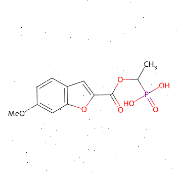 COc1ccc2cc(C(=O)OC(C)P(=O)(O)O)oc2c1